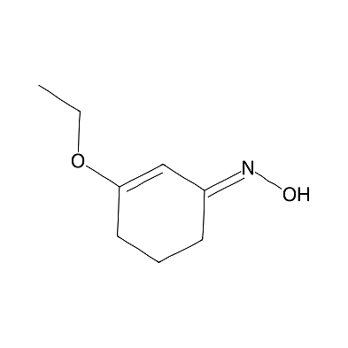 CCOC1=C/C(=N/O)CCC1